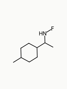 CC1CCC(C(C)NF)CC1